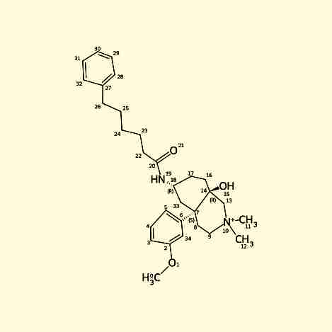 COc1cccc([C@@]23CC[N+](C)(C)C[C@@]2(O)CC[C@@H](NC(=O)CCCCCc2ccccc2)C3)c1